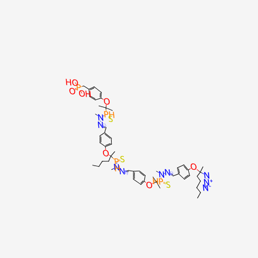 CCCCCC(C)(N=[N+]=[N-])Oc1ccc(/C=N/N(C)[PH](=S)C(C)(C)Oc2ccc(/C=N/N(C)[PH](=S)C(C)(CCCC)Oc3ccc(/C=N/N(C)[PH](=S)C(C)(C)Oc4ccc(CP(=O)(O)O)cc4)cc3)cc2)cc1